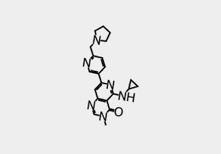 Cn1cnc2cc(-c3ccc(CN4CCCC4)nc3)nc(NC3CC3)c2c1=O